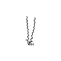 CCCCCCCCCCCCCCCCC(C)[n+]1cc[nH]c1C(C)CCCCCCCCCCCCCCC